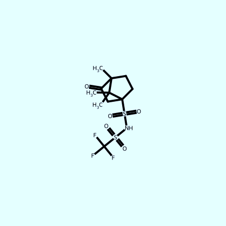 CC12CCC(S(=O)(=O)NS(=O)(=O)C(F)(F)F)(CC1=O)C2(C)C